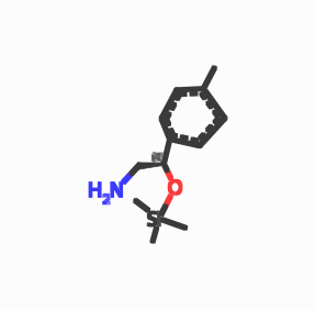 Cc1ccc([C@H](CN)O[Si](C)(C)C)cc1